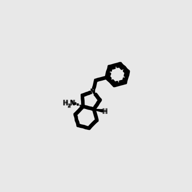 N[C@@]12CCCC[C@H]1CN(Cc1ccccc1)C2